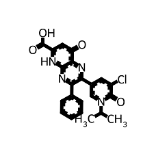 CC(C)n1cc(-c2nc3c(=O)cc(C(=O)O)[nH]c3nc2-c2ccccc2)cc(Cl)c1=O